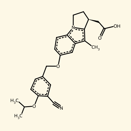 Cc1c2n(c3ccc(OCc4ccc(OC(C)C)c(C#N)c4)cc13)CC[C@H]2CC(=O)O